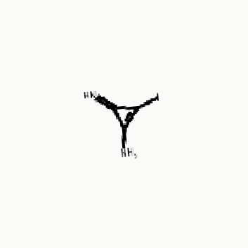 N=c1c(N)c1I